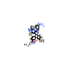 Cc1noc2cc(-c3c(-c4ccc(C#N)c(F)c4)nc(N4CCC(N)CC4)c4c3cnn4C)c(F)cc12